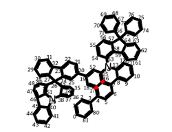 c1ccc(-c2ccc(-c3ccccc3N(c3cccc(-c4ccc5c(c4)C4(c6ccccc6-5)c5ccccc5-n5c6ccccc6c6cccc4c65)c3)c3cccc4c3-c3ccccc3C4(c3ccccc3)c3ccccc3)cc2)cc1